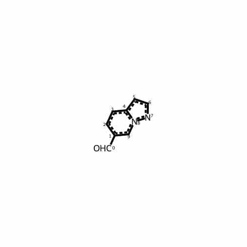 O=Cc1ccc2ccnn2c1